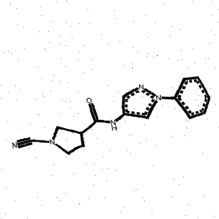 N#CN1CCC(C(=O)Nc2cnn(-c3ccccc3)c2)C1